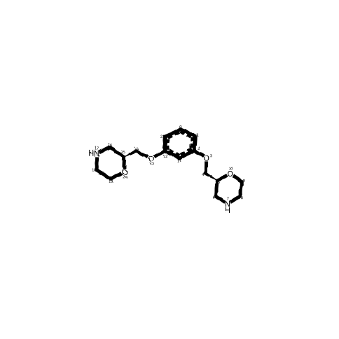 c1cc(OC[C@@H]2CNCCO2)cc(OC[C@@H]2CNCCO2)c1